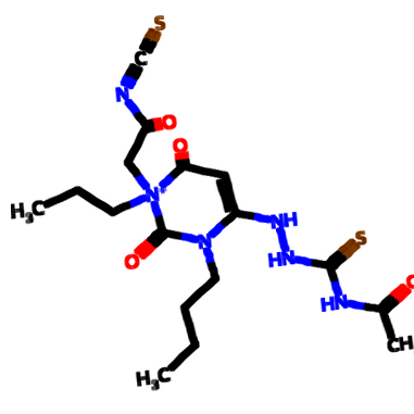 CCCCN1C(=O)[N+](CCC)(CC(=O)N=C=S)C(=O)C=C1NNC(=S)NC(C)=O